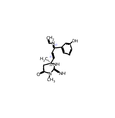 C=C/N=C(\C=C\[C@]1(C)CC(=O)N(C)C(=N)N1)c1cccc(O)c1